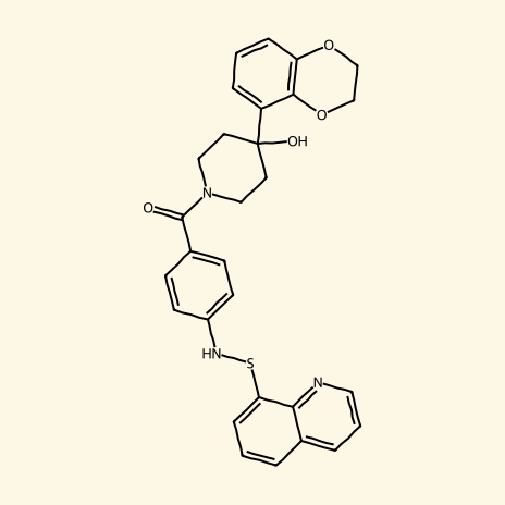 O=C(c1ccc(NSc2cccc3cccnc23)cc1)N1CCC(O)(c2cccc3c2OCCO3)CC1